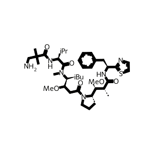 CC[C@H](C)[C@@H](C(CC(=O)N1CCC[C@H]1[C@H](OC)[C@@H](C)C(=O)N[C@@H](Cc1ccccc1)c1nccs1)OC)N(C)C(=O)[C@@H](NC(=O)C(C)(C)CN)C(C)C